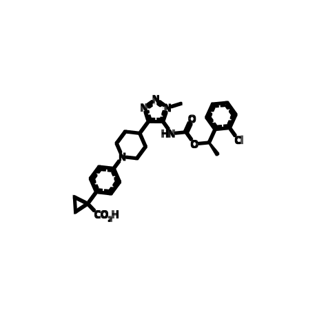 C[C@@H](OC(=O)Nc1c(C2CCN(c3ccc(C4(C(=O)O)CC4)cc3)CC2)nnn1C)c1ccccc1Cl